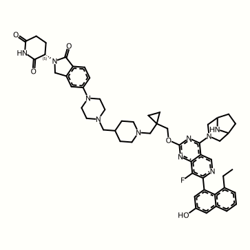 CCc1cccc2cc(O)cc(-c3ncc4c(N5CC6CCC(C5)N6)nc(OCC5(CN6CCC(CN7CCN(c8ccc9c(c8)CN([C@H]8CCC(=O)NC8=O)C9=O)CC7)CC6)CC5)nc4c3F)c12